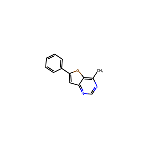 Cc1ncnc2cc(-c3ccccc3)sc12